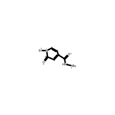 CCn1ccc(C(=O)NC(C)(C)C)cc1=O